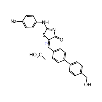 CC(=O)O.O=C1N=C(Nc2cc[c]([Na])cc2)S/C1=C/c1ccc(-c2ccc(CO)cc2)cc1